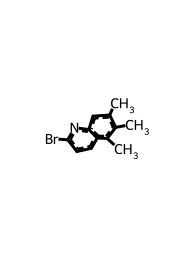 Cc1cc2nc(Br)ccc2c(C)c1C